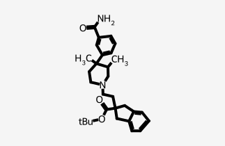 CC1CN(CCC2(C(=O)OC(C)(C)C)Cc3ccccc3C2)CCC1(C)c1cccc(C(N)=O)c1